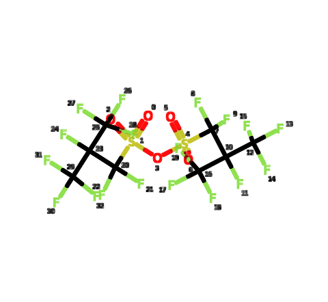 O=S(=O)(OS(=O)(=O)C(F)(F)C(F)(C(F)(F)F)C(F)(F)F)C(F)(F)C(F)(C(F)(F)F)C(F)(F)F